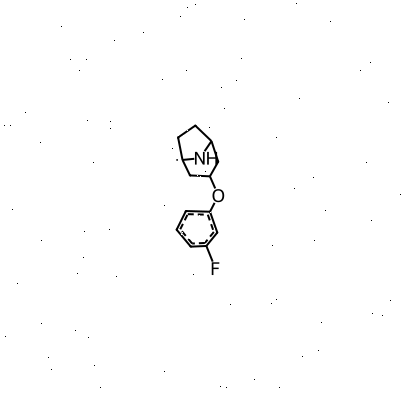 Fc1cccc(OC2C[C]3CCC(C2)N3)c1